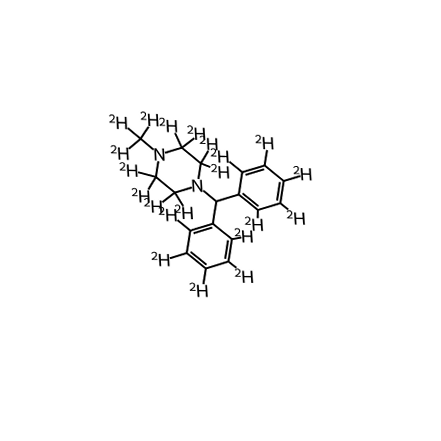 [2H]c1c([2H])c([2H])c(C(c2c([2H])c([2H])c([2H])c([2H])c2[2H])N2C([2H])([2H])C([2H])([2H])N(C([2H])([2H])[2H])C([2H])([2H])C2([2H])[2H])c([2H])c1[2H]